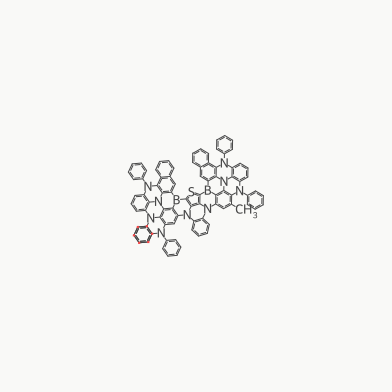 Cc1cc2c3c4c1N(c1ccccc1)c1cccc5c1N4c1c(cc4ccccc4c1N5c1ccccc1)B3c1sc3c4c1N2c1ccccc1N4c1cc(N(c2ccccc2)c2ccccc2)c2c4c1B3c1cc3ccccc3c3c1N4c1c(cccc1N3c1ccccc1)N2c1ccccc1